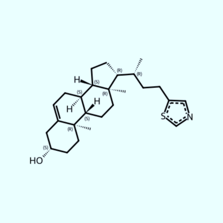 C[C@H](CCc1cncs1)[C@H]1CC[C@H]2[C@@H]3CC=C4C[C@@H](O)CC[C@]4(C)[C@H]3CC[C@]12C